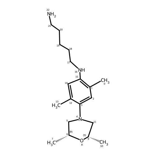 Cc1cc(N2C[C@@H](C)O[C@@H](C)C2)c(C)cc1NCCCCCN